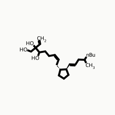 C=CC(O)(CO)C(O)CC/C=C\C[C@H]1CCC[C@@H]1/C=C/CC(C)CCCC